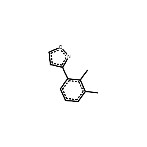 Cc1cccc(-c2ccon2)c1C